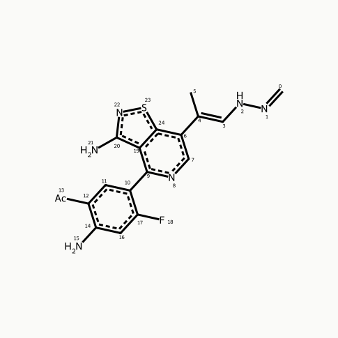 C=NN/C=C(\C)c1cnc(-c2cc(C(C)=O)c(N)cc2F)c2c(N)nsc12